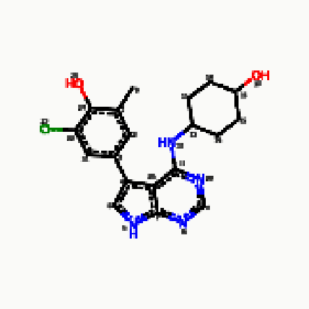 Cc1cc(-c2c[nH]c3ncnc(NC4CCC(O)CC4)c23)cc(Cl)c1O